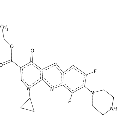 CCOC(=O)c1cn(C2CC2)c2nc3c(F)c(N4CCNCC4)c(F)cc3cc2c1=O